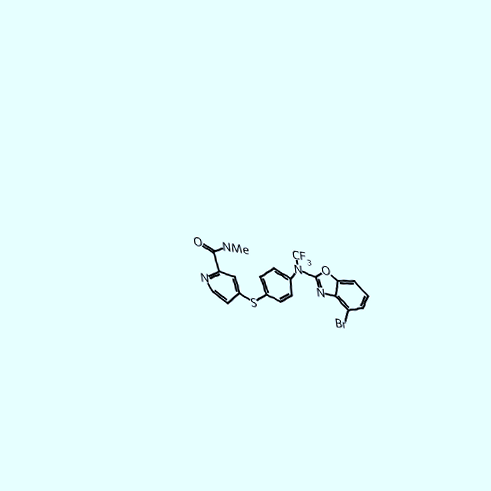 CNC(=O)c1cc(Sc2ccc(N(c3nc4c(Br)cccc4o3)C(F)(F)F)cc2)ccn1